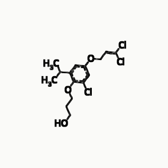 CC(C)c1cc(OCC=C(Cl)Cl)cc(Cl)c1OCCCO